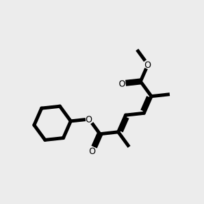 COC(=O)C(C)=CC=C(C)C(=O)OC1CCCCC1